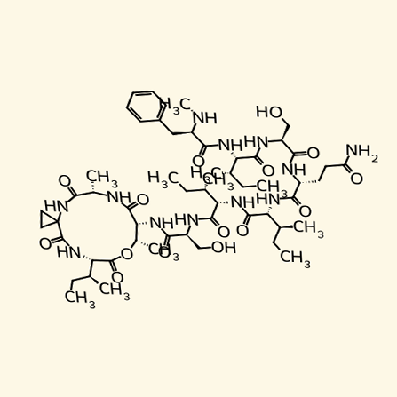 CC[C@H](C)[C@H](NC(=O)[C@@H](Cc1ccccc1)NC)C(=O)N[C@@H](CO)C(=O)N[C@H](CCC(N)=O)C(=O)N[C@@H](C(=O)N[C@H](C(=O)N[C@@H](CO)C(=O)N[C@H]1C(=O)N[C@@H](C)C(=O)NC2(CC2)C(=O)N[C@@H]([C@@H](C)CC)C(=O)O[C@H]1C)[C@@H](C)CC)[C@@H](C)CC